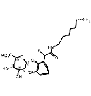 NCCCCCCNC(=O)C(F)c1ccccc1O[C@H]1O[C@H](C(=O)O)[C@@H](O)[C@H](O)[C@H]1O